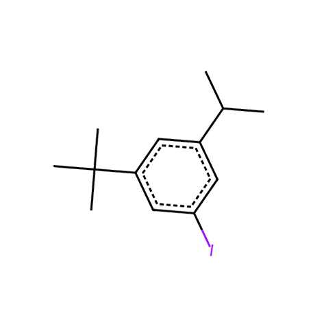 CC(C)c1cc(I)cc(C(C)(C)C)c1